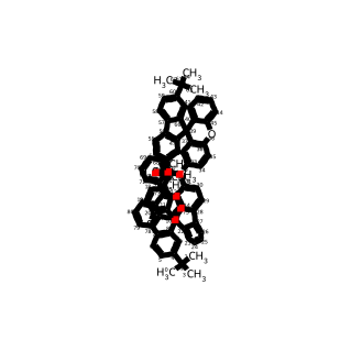 CC(C)(C)c1ccc2c(c1)C1(c3cc(C(C)(C)C)ccc3S2)c2ccccc2-c2ccc(N(c3ccc4c(c3)C3(c5ccccc5O4)c4cc(C(C)(C)C)ccc4-c4ccc(C(C)(C)C)cc43)c3ccccc3-c3cccc4ccccc34)cc21